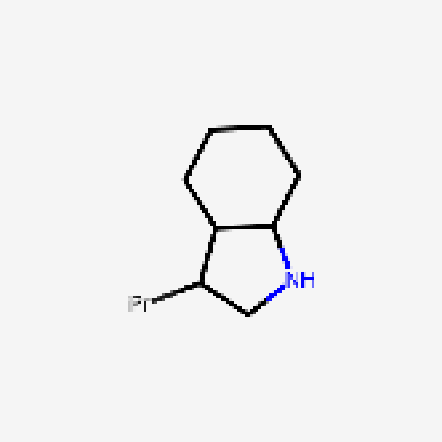 CC(C)C1CNC2CCCCC21